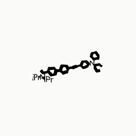 C=C(c1ccc(-c2ccc(C#Cc3ccc(N(C(/C=C\C)=C/C)c4ccccc4)cc3)cc2)cc1)N(C(C)C)C(C)C